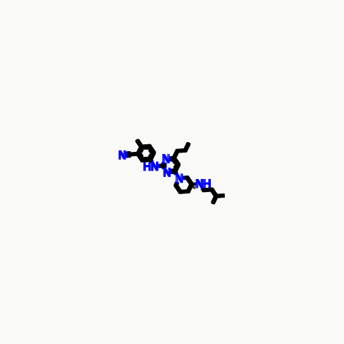 CCCc1cc(N2CCC[C@H](NCCC(C)C)C2)nc(Nc2ccc(C)c(C#N)c2)n1